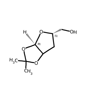 CC1(C)OC2C[C@@H](CO)O[C@@H]2O1